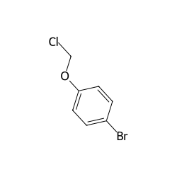 ClCOc1ccc(Br)cc1